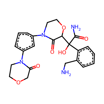 NCc1ccccc1C(O)(C(N)=O)C1OCCN(c2cccc(N3CCOCC3=O)c2)C1=O